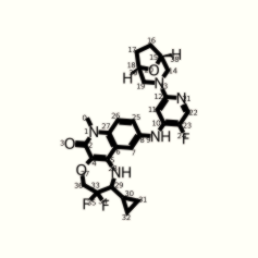 Cn1c(=O)c2c(c3cc(Nc4cc(N5C[C@H]6CC[C@@H](C5)O6)ncc4F)ccc31)NC(C1CC1)C(F)(F)CO2